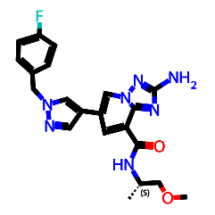 COC[C@H](C)NC(=O)c1cc(-c2cnn(Cc3ccc(F)cc3)c2)cn2nc(N)nc12